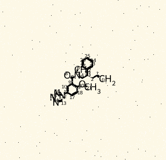 C=CC[C@H](CN(C)C(=O)c1cc(-n2cnnn2)ccc1OC)c1ccccc1